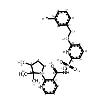 CC1CCN(c2ncccc2C(=O)NS(=O)(=O)c2cccc(OCc3cccc(F)c3)n2)C1(C)C